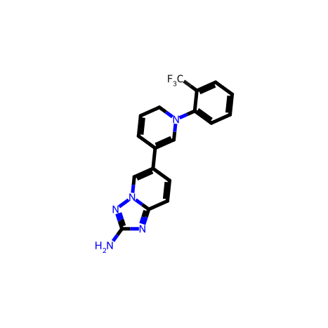 Nc1nc2ccc(C3=CN(c4ccccc4C(F)(F)F)CC=C3)cn2n1